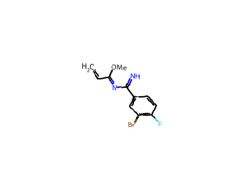 C=C/C(=N/C(=N)c1ccc(F)c(Br)c1)OC